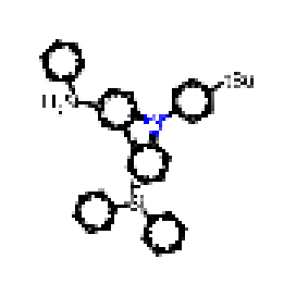 CC(C)(C)c1ccc(-n2c3ccc([SiH2]c4ccccc4)cc3c3cc([SiH](c4ccccc4)c4ccccc4)ccc32)cc1